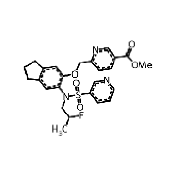 COC(=O)c1ccc(COc2cc3c(cc2N(C[C@H](C)F)S(=O)(=O)c2cccnc2)CCC3)nc1